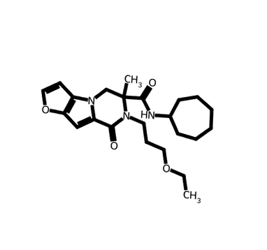 CCOCCCN1C(=O)c2cc3occc3n2CC1(C)C(=O)NC1CCCCCC1